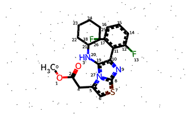 COC(=O)Cc1csc2nc(-c3c(F)cccc3F)c(NC3CCCCC3)n12